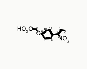 CC=C(c1ccc(OCC(=O)O)cc1)[N+](=O)[O-]